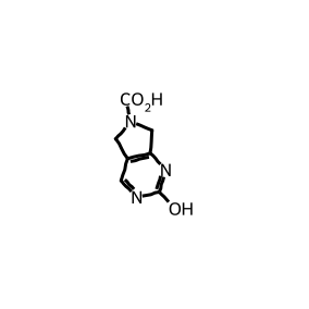 O=C(O)N1Cc2cnc(O)nc2C1